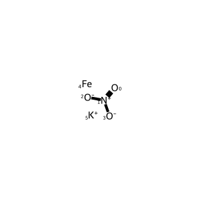 O=[N+]([O-])[O-].[Fe].[K+]